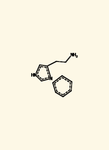 NCCc1c[nH]cn1.c1ccccc1